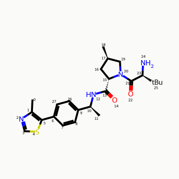 Cc1ncsc1-c1ccc([C@H](C)NC(=O)[C@@H]2C[C@@H](C)CN2C(=O)[C@@H](N)C(C)(C)C)cc1